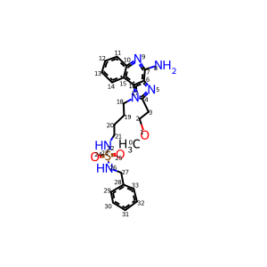 COCCc1nc2c(N)nc3ccccc3c2n1CCCCNS(=O)(=O)NCc1ccccc1